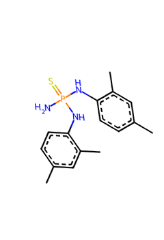 Cc1ccc(NP(N)(=S)Nc2ccc(C)cc2C)c(C)c1